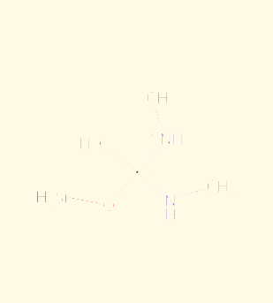 CNC(C)(NC)O[SiH3]